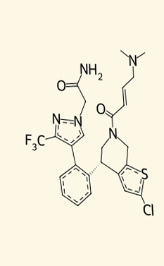 CN(C)C/C=C/C(=O)N1Cc2sc(Cl)cc2[C@H](c2ccccc2-c2cn(CC(N)=O)nc2C(F)(F)F)C1